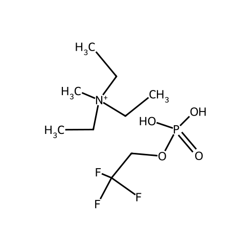 CC[N+](C)(CC)CC.O=P(O)(O)OCC(F)(F)F